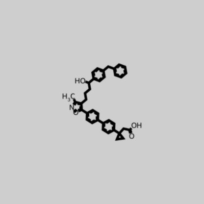 Cc1noc(-c2ccc(-c3ccc(C4(CC(=O)O)CC4)cc3)cc2)c1CCCC(O)c1ccc(Cc2ccccc2)cc1